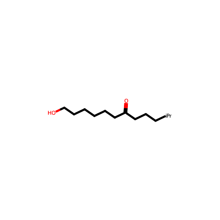 CC(C)CCCC(=O)CCCCCCO